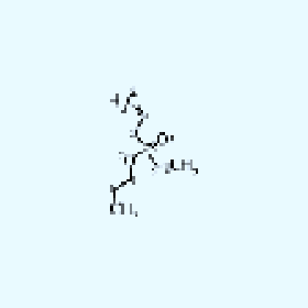 C=CCP(=O)(CC)OCCC